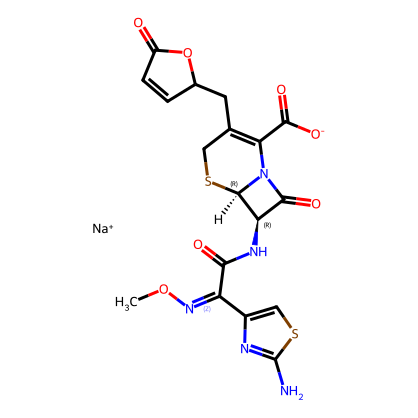 CO/N=C(\C(=O)N[C@@H]1C(=O)N2C(C(=O)[O-])=C(CC3C=CC(=O)O3)CS[C@H]12)c1csc(N)n1.[Na+]